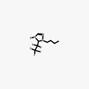 CCCCN1N=CN(F)C1C(F)(F)C(F)(F)F